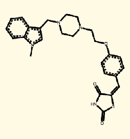 Cn1cc(CN2CCN(CCOc3ccc(C=C4SC(=O)NC4=O)cc3)CC2)c2ccccc21